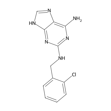 Nc1nc(NCc2ccccc2Cl)nc2[nH]cnc12